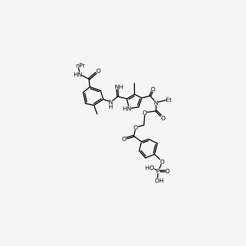 CCCNC(=O)c1ccc(C)c(NC(=N)c2[nH]cc(C(=O)N(CC)C(=O)OCOC(=O)c3ccc(OP(=O)(O)O)cc3)c2C)c1